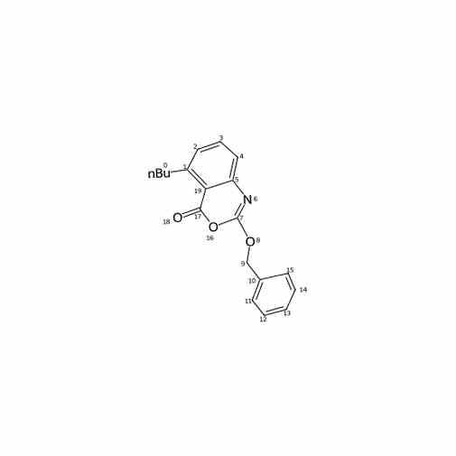 CCCCc1cccc2nc(OCc3ccccc3)oc(=O)c12